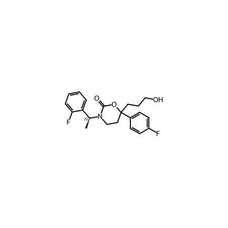 C[C@@H](c1ccccc1F)N1CCC(CCCO)(c2ccc(F)cc2)OC1=O